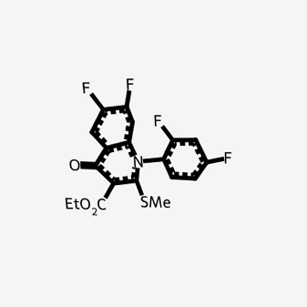 CCOC(=O)c1c(SC)n(-c2ccc(F)cc2F)c2cc(F)c(F)cc2c1=O